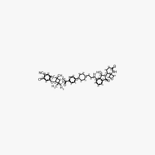 CC1(C)[C@H](NC(=O)c2ccc(N3CCN(CCNc4cccc5c4C(O)N(C4CCC(=O)NC46COC6)C5=O)CC3)cn2)C(C)(C)[C@H]1Oc1ccc(C#N)c(Cl)c1